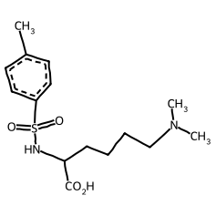 Cc1ccc(S(=O)(=O)NC(CCCCN(C)C)C(=O)O)cc1